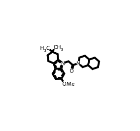 COc1ccc2c3c(n(CC(=O)N4CCC5CCCCC5C4)c2c1)CC(C)(C)CC3